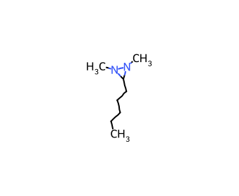 CCCCCC1N(C)N1C